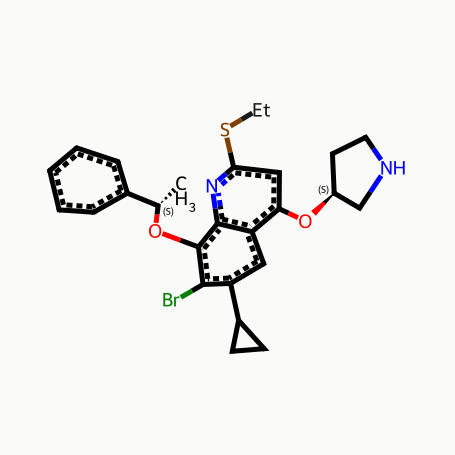 CCSc1cc(O[C@H]2CCNC2)c2cc(C3CC3)c(Br)c(O[C@@H](C)c3ccccc3)c2n1